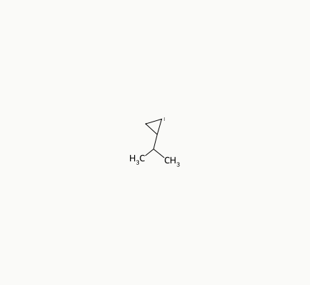 CC(C)C1[C]C1